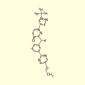 [2H]C([2H])([2H])n1cc(-n2ccc(=O)c(C(F)c3cccc(-c4ncc(OCC)cn4)c3)n2)cn1